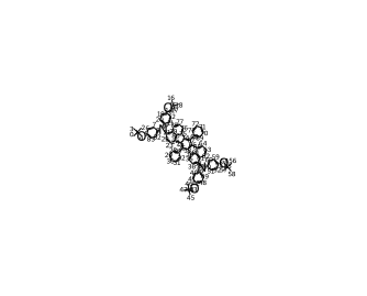 CC(C)(C)Oc1ccc(N(c2ccc(OC(C)(C)C)cc2)c2ccc3c4c(-c5ccccc5)c5c6ccc(N(c7ccc(OC(C)(C)C)cc7)c7ccc(OC(C)(C)C)cc7)c7cccc(c5c(-c5ccccc5)c4c4cccc2c43)c76)cc1